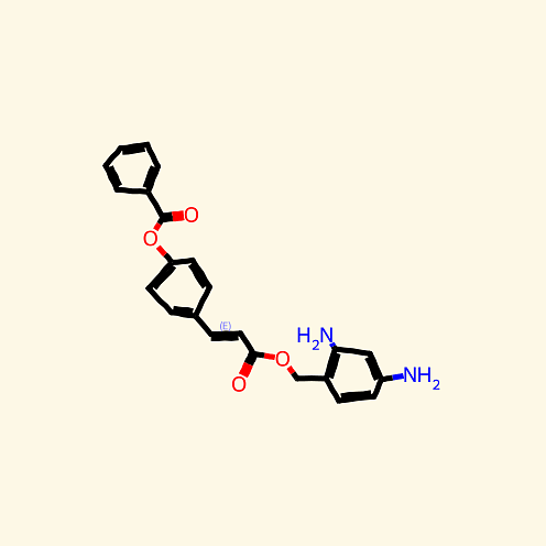 Nc1ccc(COC(=O)/C=C/c2ccc(OC(=O)c3ccccc3)cc2)c(N)c1